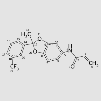 C=CC(=O)Nc1ccc2c(c1)OC(C)(c1cccc(C(F)(F)F)c1)O2